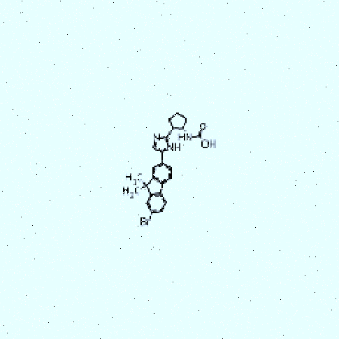 CC1(C)c2cc(Br)ccc2-c2ccc(-c3cnc([C@H]4CCC[C@@H]4NC(=O)O)[nH]3)cc21